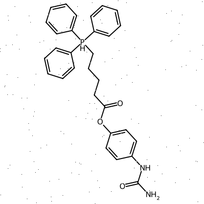 NC(=O)Nc1ccc(OC(=O)CCCC[PH](c2ccccc2)(c2ccccc2)c2ccccc2)cc1